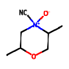 CC1C[N+]([O-])(C#N)C(C)CO1